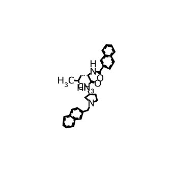 CC(C)C[C@H](NC(=O)c1ccc2ccccc2c1)C(=O)N[C@H]1CCN(Cc2ccc3ccccc3c2)C1